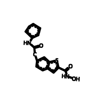 O=C(Cc1ccc2cc(C(=O)NO)sc2c1)Nc1ccccc1